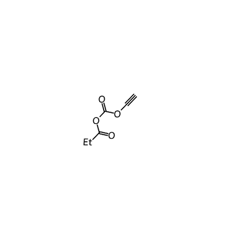 C#COC(=O)OC(=O)CC